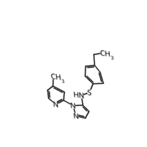 CCc1ccc(SNc2ccnn2-c2cc(C)ccn2)cc1